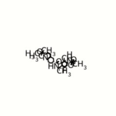 COC(C)(C)c1ccc2c(n1)CC[C@@H](C(=O)N[C@H](C)c1cc(C)c(NS(C)(=O)=O)cc1F)C2